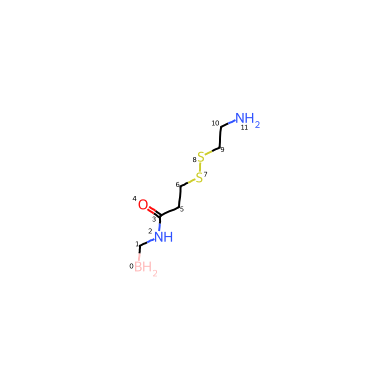 BCNC(=O)CCSSCCN